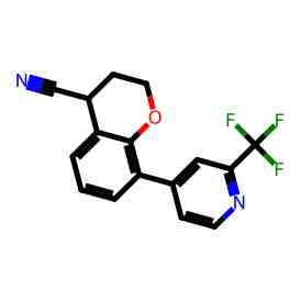 N#CC1CCOc2c(-c3ccnc(C(F)(F)F)c3)cccc21